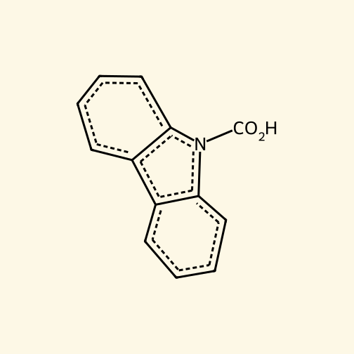 O=C(O)n1c2ccccc2c2ccccc21